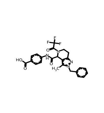 Cc1c2c(nn1Cc1ccccc1)CCN(C(=O)C(F)(F)F)C2C(=O)Nc1ccc(C(=O)O)cc1